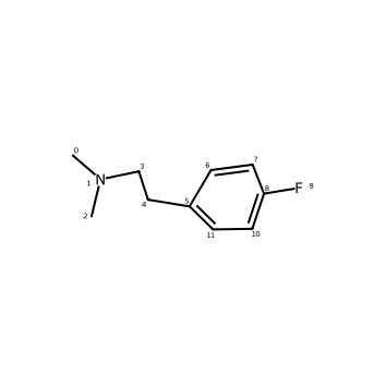 CN(C)CCc1ccc(F)cc1